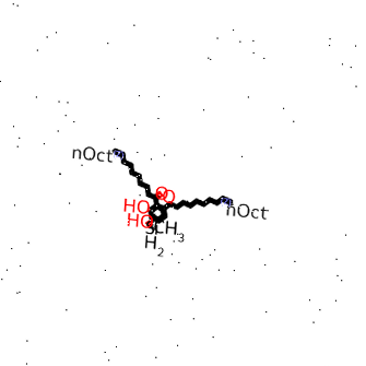 CCCCCCCC/C=C\CCCCCCCC(=O)c1cccc(O)c1C(=O)CCCCCCC/C=C\CCCCCCCC.C[SiH2]O